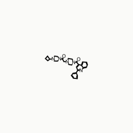 O=C(CN1CCN(C(=O)c2cc(-c3ccccc3)nc3ccccc23)CC1)N1CCN(C2CCC2)CC1